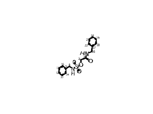 O=C(COS(=O)(=O)NCc1ccccc1)NCc1ccccc1